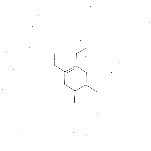 CCC1=C(CC)CC(C)C(C)C1